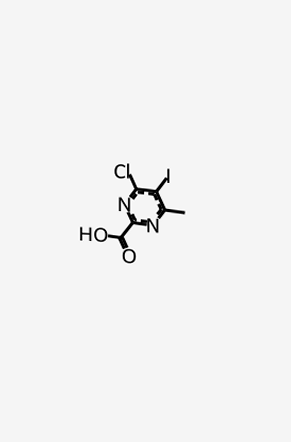 Cc1nc(C(=O)O)nc(Cl)c1I